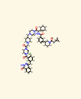 O=C(N[C@@H](C(=O)N1CCN(CC2CCN(CC(=O)N3CCN(C(=O)c4cc(Cc5n[nH]c(=O)c6ccccc56)ccc4F)CC3)CC2)CC1)C1CCCCC1)c1cccc(C2CCCN(C(=O)CC3CC3)C2)c1